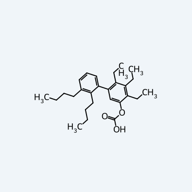 CCCCc1cccc(-c2cc(OC(=O)O)c(CC)c(CC)c2CC)c1CCCC